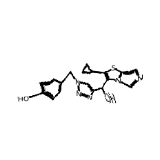 Oc1ccc(Cn2cc(C(O)c3c(C4CC4)sc4cncn34)nn2)cc1